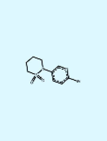 CC(C)c1ccc(N2CCCCS2(=O)=O)cn1